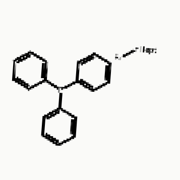 CCCCCCCBr.c1ccc(P(c2ccccc2)c2ccccc2)cc1